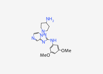 COc1cc(NC2=N[N+]3(N4CCC(N)CC4)C=CN=CC3=N2)cc(OC)c1